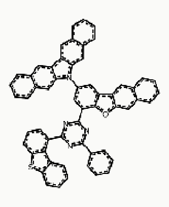 c1ccc(-c2nc(-c3cc(-n4c5cc6ccccc6cc5c5cc6ccccc6cc54)cc4c3oc3cc5ccccc5cc34)nc(-c3cccc4sc5ccccc5c34)n2)cc1